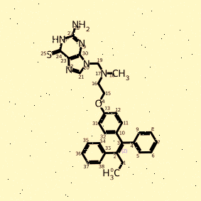 CC/C(=C(\c1ccccc1)c1ccc(OCCN(C)Cn2cnc3c(=S)[nH]c(N)nc32)cc1)c1ccccc1